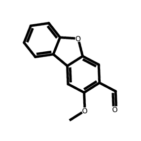 COc1cc2c(cc1C=O)oc1ccccc12